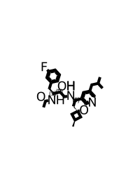 CC(=O)N[C@@H](Cc1cccc(F)c1)[C@H](O)CN[C@H]1C[C@]2(C[C@H](C)C2)Oc2ncc(CC(C)C)cc21